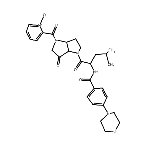 CC(C)CC(NC(=O)c1ccc(N2CCOCC2)cc1)C(=O)N1CCC2C1C(=O)CN2C(=O)c1cccc[n+]1[O-]